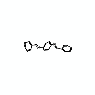 C(=N\c1ccc(/N=C/c2ccccc2)cc1)/c1ccccc1